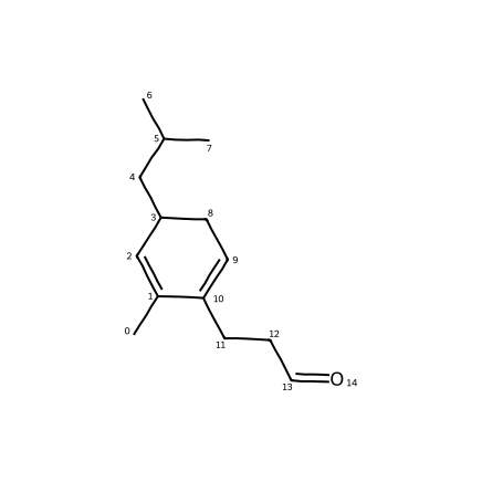 CC1=CC(CC(C)C)CC=C1CCC=O